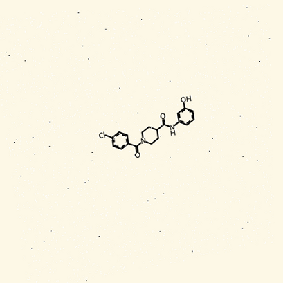 O=C(Nc1cccc(O)c1)C1CCN(C(=O)c2ccc(Cl)cc2)CC1